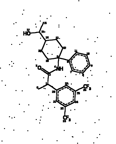 CC(C(=O)NC1(c2ccccc2)CCC(C(C)O)CC1)c1cc(C(F)(F)F)cc(C(F)(F)F)c1